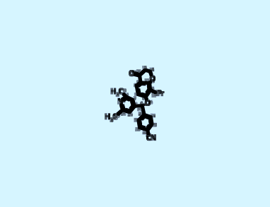 Cc1cc([C@H](Oc2ccc3c(c2C(C)C)OCCC3=O)c2ccc(C#N)cc2)cc(C)n1